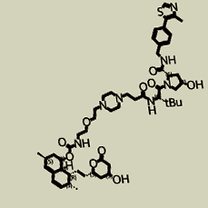 Cc1ncsc1-c1ccc(CNC(=O)[C@@H]2C[C@@H](O)CN2C(=O)[C@@H](NC(=O)CCN2CCN(CCOCCNC(=O)O[C@@H]3C[C@H](C)C=C4C=C[C@@H](C)[C@@H](CC[C@H]5C[C@H](O)CC(=O)O5)[C@@H]43)CC2)C(C)(C)C)cc1